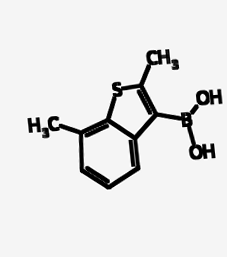 Cc1sc2c(C)cccc2c1B(O)O